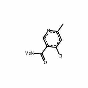 CNC(=O)c1cnc(C)cc1Cl